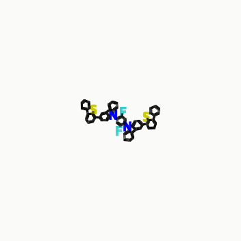 Fc1cc(-n2c3ccccc3c3cc(-c4cccc5c4sc4ccccc45)ccc32)c(F)cc1-n1c2ccccc2c2cc(-c3cccc4c3sc3ccccc34)ccc21